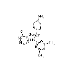 Cc1cc(C)nc(NS(=O)(=O)c2ccc(N)cc2)n1.Clc1cccnn1